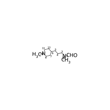 CN(C=O)CCCC1CCN(C)CC1